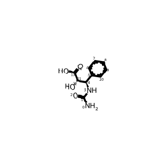 NC(=O)N[C@H](c1ccccc1)[C@H](O)C(=O)O